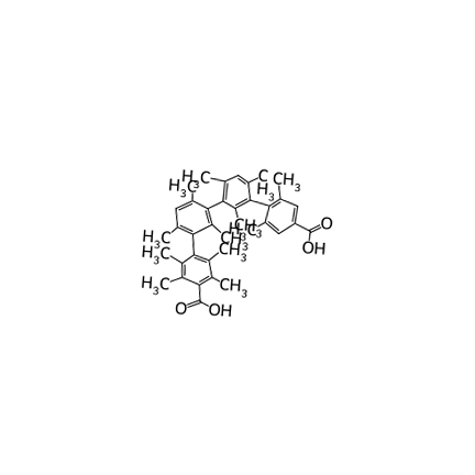 Cc1cc(C(=O)O)cc(C)c1-c1c(C)cc(C)c(-c2c(C)cc(C)c(-c3c(C)c(C)c(C(=O)O)c(C)c3C)c2C)c1C